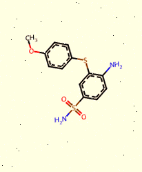 COc1ccc(Sc2cc(S(N)(=O)=O)ccc2N)cc1